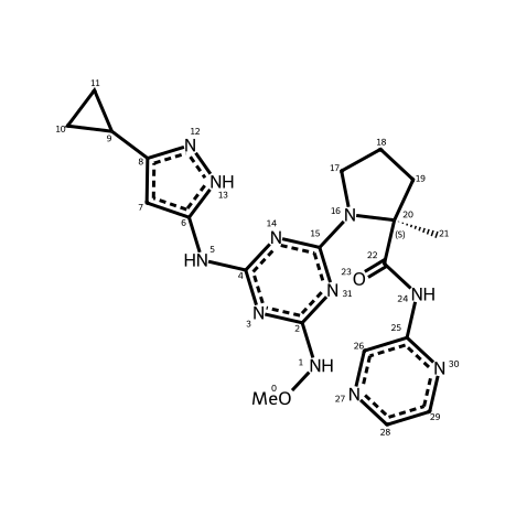 CONc1nc(Nc2cc(C3CC3)n[nH]2)nc(N2CCC[C@@]2(C)C(=O)Nc2cnccn2)n1